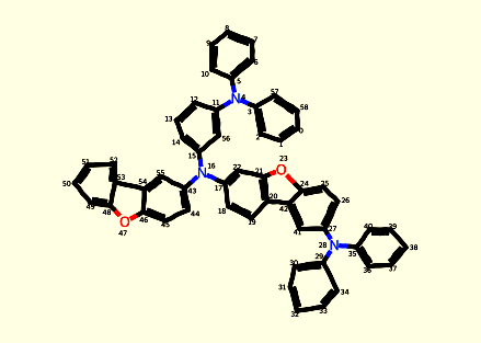 c1ccc(N(c2ccccc2)c2cccc(N(c3ccc4c(c3)oc3ccc(N(c5ccccc5)c5ccccc5)cc34)c3ccc4oc5ccccc5c4c3)c2)cc1